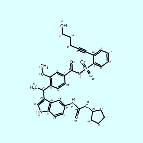 COc1cc(C(=O)NS(=O)(=O)c2ccccc2C#CCCCO)ccc1C(C)c1c[nH]c2ccc(NC(=O)OC3CCCC3)cc12